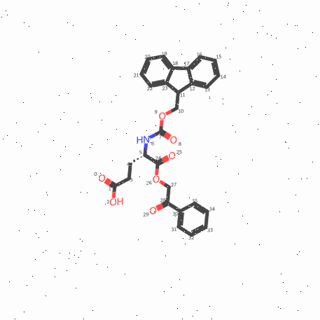 O=C(O)CC[C@H](NC(=O)OCC1c2ccccc2-c2ccccc21)C(=O)OCC(=O)c1ccccc1